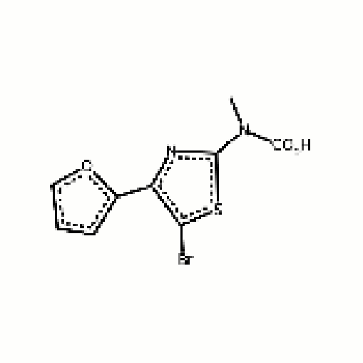 CN(C(=O)O)c1nc(-c2ccco2)c(Br)s1